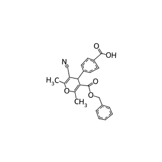 CC1=C(C#N)C(c2ccc(C(=O)O)cc2)C(C(=O)OCc2ccccc2)=C(C)O1